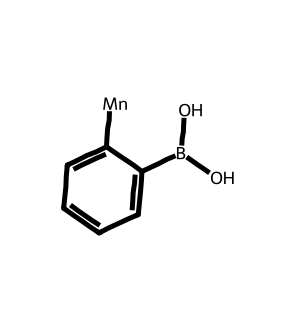 OB(O)c1cccc[c]1[Mn]